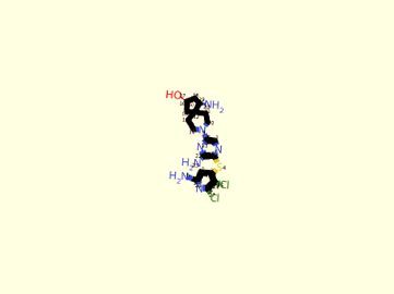 Nc1cc(Sc2ncc(N3CCC4(CC3)C[C@H](O)C[C@H]4N)nc2N)c(Cl)c(Cl)n1